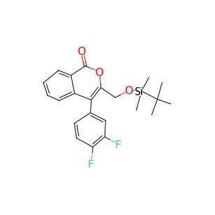 CC(C)(C)[Si](C)(C)OCc1oc(=O)c2ccccc2c1-c1ccc(F)c(F)c1